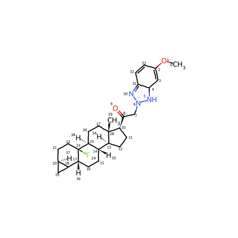 COC1=CC2NN(CC(=O)[C@H]3CC[C@H]4[C@@H]5CC[C@@H]6C7C[C@H]7CC[C@]6(F)[C@H]5CC[C@]34C)N=C2C=C1